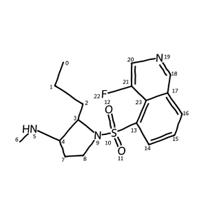 CCCC1C(NC)CCN1S(=O)(=O)c1cccc2cncc(F)c12